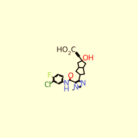 Cn1cnc(C2CC3CC(O)(C#CC(=O)O)CC3C2)c1C(=O)Nc1ccc(F)c(Cl)c1